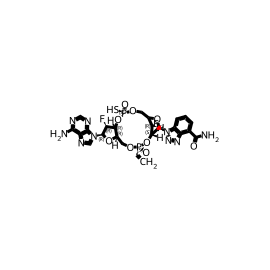 C=C[P@]1(=O)OC[C@H]2O[C@@H](n3cnc4c(N)ncnc43)[C@H](F)[C@@H]2O[P@@](=O)(S)OCC2O[C@@H](n3nnc4c(C(N)=O)cccc43)[C@H](O1)[C@@H]2F